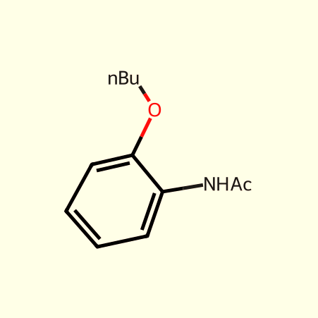 [CH2]C(=O)Nc1ccccc1OCCCC